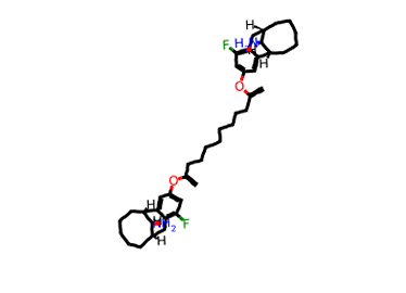 C=C(CCCCCCCCC(=C)Oc1cc(F)c2c(c1)[C@H]1CCCCC[C@@H](C2)[C@@H]1N)Oc1cc(F)c2c(c1)[C@H]1CCCCC[C@@H](C2)[C@@H]1N